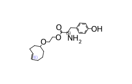 N[C@@H](Cc1ccc(O)cc1)C(=O)OCCOC1CC/C=C/CCC1